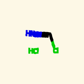 Cl.N=CCl